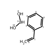 C=Cc1ccccc1.OBO